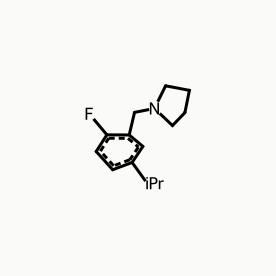 CC(C)c1ccc(F)c(CN2CCCC2)c1